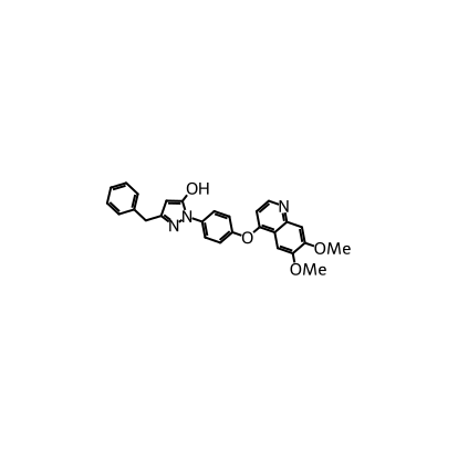 COc1cc2nccc(Oc3ccc(-n4nc(Cc5ccccc5)cc4O)cc3)c2cc1OC